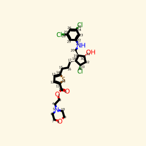 O=C(OCCN1CCOCC1)c1ccc(CCC[C@@H]2[C@@H](CNc3cc(Cl)cc(Cl)c3)[C@H](O)C[C@H]2Cl)s1